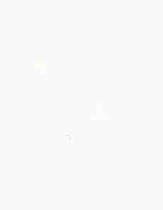 COc1ccc(C(C)(N)P(c2ccccc2)c2ccccc2)cc1